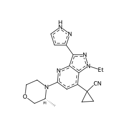 CCn1nc(-c2cc[nH]n2)c2nc(N3CCOC[C@H]3C)cc(C3(C#N)CC3)c21